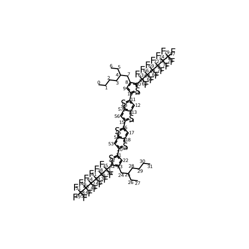 CCCCC(CC)Cc1cc(-c2cc3sc(-c4cc5sc(-c6cc(CC(CC)CCCC)c(C(F)(F)C(F)(F)C(F)(F)C(F)(F)C(F)(F)C(F)(F)F)s6)cc5s4)cc3s2)sc1C(F)(F)C(F)(F)C(F)(F)C(F)(F)C(F)(F)C(F)(F)F